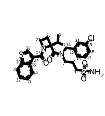 CC(C)C1(C(=O)N(CCCS(N)(=O)=O)Cc2cccc(Cl)c2)CCN1C(=O)c1csc2ccccc12